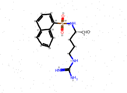 N=C(N)NCCC[C@@H]([C]=O)NS(=O)(=O)c1cccc2ccccc12